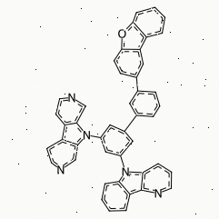 c1cc(-c2cc(-n3c4cnccc4c4ccncc43)cc(-n3c4ccccc4c4ncccc43)c2)cc(-c2ccc3oc4ccccc4c3c2)c1